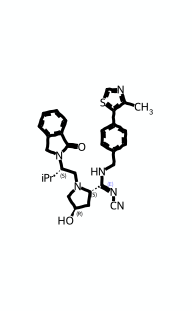 Cc1ncsc1-c1ccc(CN/C(=N/C#N)[C@@H]2C[C@@H](O)CN2C[C@H](C(C)C)N2Cc3ccccc3C2=O)cc1